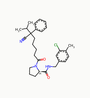 Cc1ccc(CNC(=O)[C@H]2CCCN2C(=O)CCCCC(C#N)(c2ccccc2)C(C)C)cc1Cl